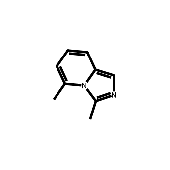 Cc1cccc2cnc(C)n12